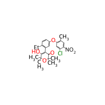 CCc1ccc(Oc2cc(Cl)c([N+](=O)[O-])cc2C)cc1C1=C(O)C(C)(C)OC(C)(C)C1=O